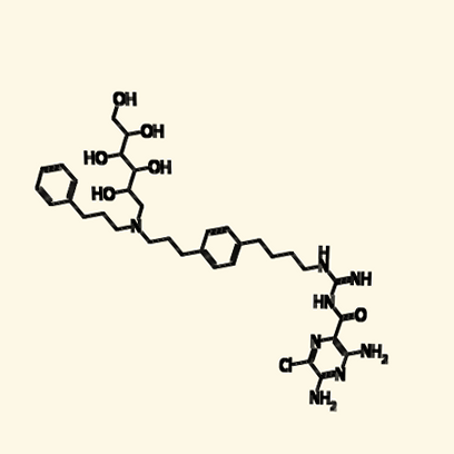 N=C(NCCCCc1ccc(CCCN(CCCc2ccccc2)CC(O)C(O)C(O)C(O)CO)cc1)NC(=O)c1nc(Cl)c(N)nc1N